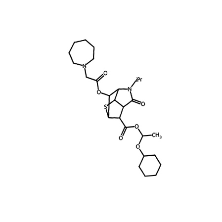 CC(OC(=O)C1C2SC3C1C(=O)N(C(C)C)C3C2OC(=O)CN1CCCCCC1)OC1CCCCC1